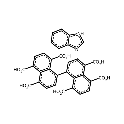 O=C(O)c1ccc(C(=O)O)c2c(-c3ccc(C(=O)O)c4c(C(=O)O)ccc(C(=O)O)c34)ccc(C(=O)O)c12.c1ccc2[nH]cnc2c1